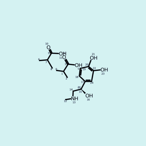 CC(C)C(=O)O.CC(C)C(=O)O.CNC[C@H](O)c1ccc(O)c(O)c1